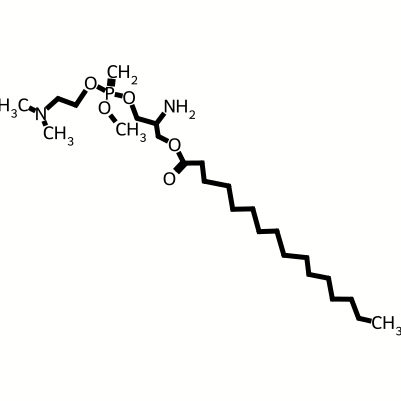 C=P(OC)(OCCN(C)C)OCC(N)COC(=O)CCCCCCCCCCCCCCC